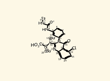 CCNC(=O)Nc1cccc(-n2c([C@H]([C@@H](C)CC)N(C(=O)O)C(C)(C)C)nc3cccc(Cl)c3c2=O)c1